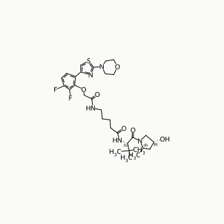 C[C@@H]1C[C@@H](O)CN1C(=O)[C@@H](NC(=O)CCCCNC(=O)COc1c(-c2csc(N3CCOCC3)n2)ccc(F)c1F)C(C)(C)C